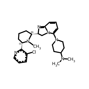 CN(C)C1CCN(C2=CC=CC3=NC([C@H]4CCC[C@@H](c5ncccc5Cl)N4C)CN23)CC1